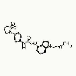 COCCn1ccc2c(OCC(=O)Nc3ccc(N4CCCS4(=O)=O)cc3)cccc21